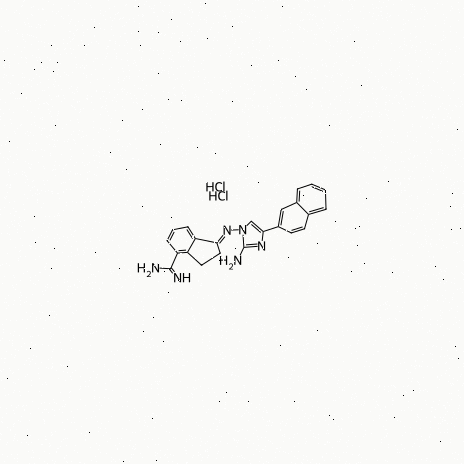 Cl.Cl.N=C(N)c1cccc2c1CC/C2=N\n1cc(-c2ccc3ccccc3c2)nc1N